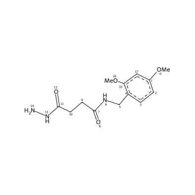 COc1ccc(CNC(=O)CCC(=O)NN)c(OC)c1